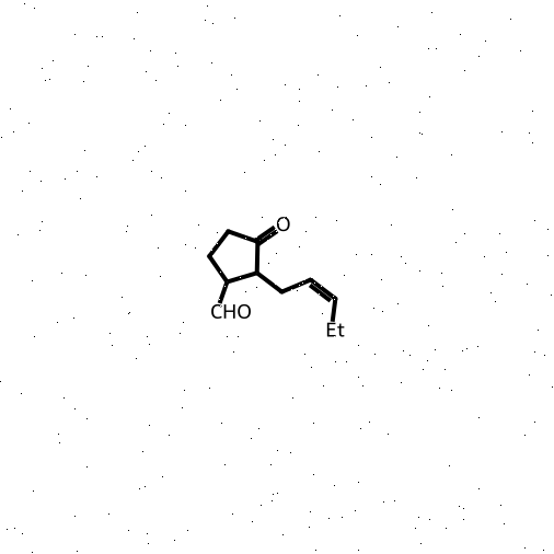 CC/C=C\CC1C(=O)CCC1C=O